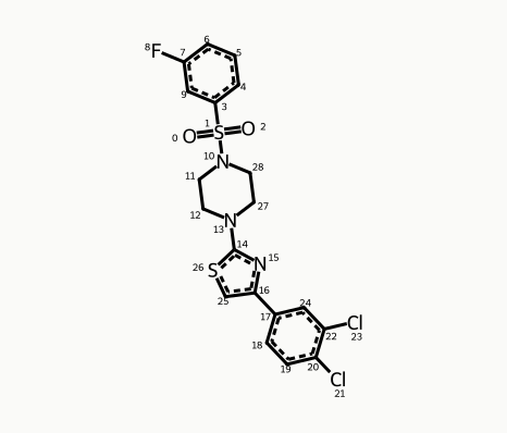 O=S(=O)(c1cccc(F)c1)N1CCN(c2nc(-c3ccc(Cl)c(Cl)c3)cs2)CC1